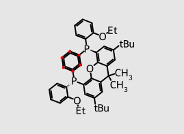 CCOc1ccccc1[P@](c1ccccc1)c1cc(C(C)(C)C)cc2c1Oc1c([P@@](c3ccccc3)c3ccccc3OCC)cc(C(C)(C)C)cc1C2(C)C